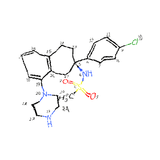 CS(=O)(=O)N[C@]1(c2ccc(Cl)cc2)CCc2cccc(N3CCNCC3)c2C1